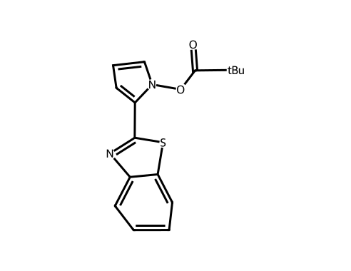 CC(C)(C)C(=O)On1cccc1-c1nc2ccccc2s1